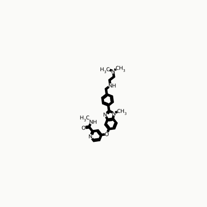 CNC(=O)c1cc(Oc2ccc3c(c2)nc(-c2ccc(CNCCN(C)C)cc2)n3C)ccn1